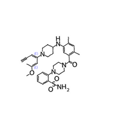 C#C/C=C(\C=C(/C)OC)N1CCC(Nc2cc(C(=O)N3CCN(c4ccccc4S(N)(=O)=O)CC3)c(C)cc2C)CC1